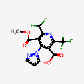 COC(=O)c1c(C(F)F)nc(C(F)(F)F)c(C(=O)O)c1-n1cccn1